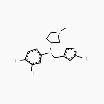 CN1CC[C@H](N(Cc2coc(C(F)(F)F)c2)c2ccc(C#N)c(Cl)c2)C1